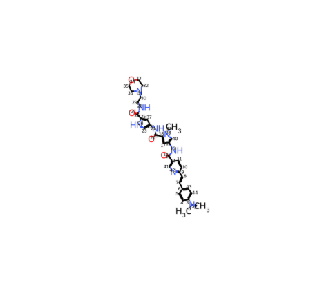 CN(C)c1ccc(/C=C/c2ccc(C(=O)Nc3cc(C(=O)Nc4c[nH]c(C(=O)NCCN5CCOCC5)c4)n(C)c3)cn2)cc1